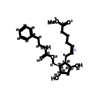 COC(=O)CCC/C=C\C[C@@H]1[C@@H](COC(=S)NCCc2ccccc2)[C@H](O)C[C@@H]1O